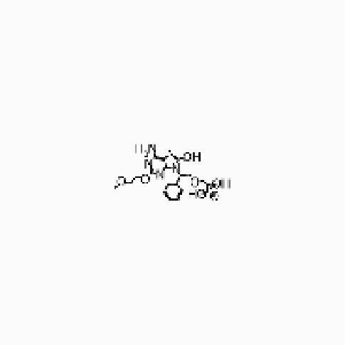 COCCOc1nc(N)c2nc(O)n(C(COCP(=O)(O)O)c3ccccc3)c2n1